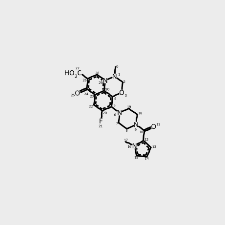 CN1COc2c(N3CCN(C(=O)c4cccn4C)CC3)c(F)cc3c(=O)c(C(=O)O)cn1c23